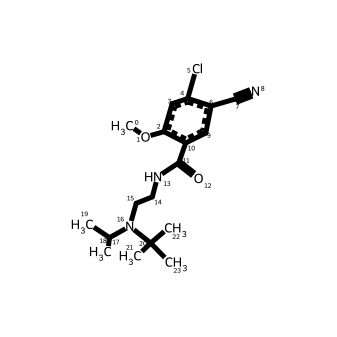 COc1cc(Cl)c(C#N)cc1C(=O)NCCN(C(C)C)C(C)(C)C